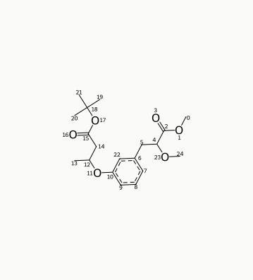 COC(=O)C(Cc1cccc(OC(C)CC(=O)OC(C)(C)C)c1)OC